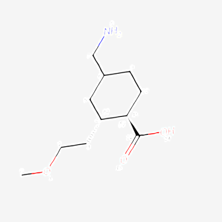 COCC[C@@H]1CC(CN)CC[C@H]1C(=O)O